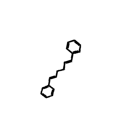 [CH](C=Cc1ccccc1)CC=Cc1ccccc1